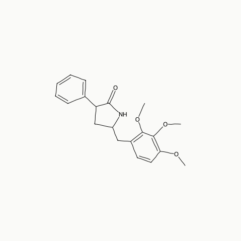 COc1ccc(CC2CC(c3ccccc3)C(=O)N2)c(OC)c1OC